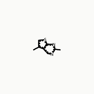 Cc1ncc2c(C)csc2n1